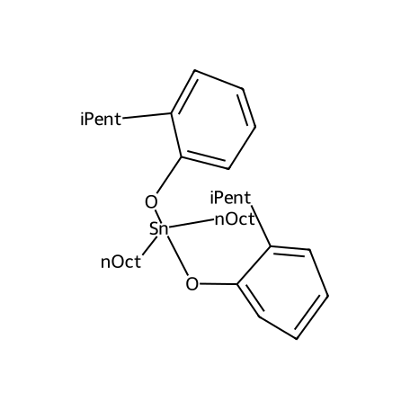 CCCCCCC[CH2][Sn]([CH2]CCCCCCC)([O]c1ccccc1C(C)CCC)[O]c1ccccc1C(C)CCC